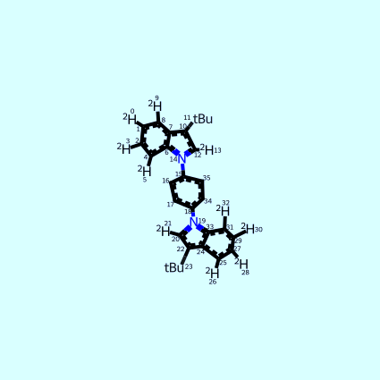 [2H]c1c([2H])c([2H])c2c(c1[2H])c(C(C)(C)C)c([2H])n2-c1ccc(-n2c([2H])c(C(C)(C)C)c3c([2H])c([2H])c([2H])c([2H])c32)cc1